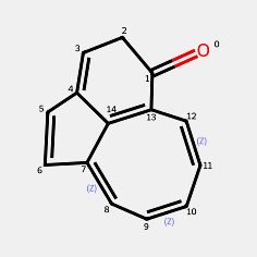 O=C1CC=C2C=C/C3=C/C=C\C=C/C1=C23